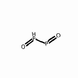 O=P[PH]=O